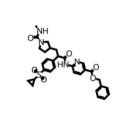 CNC(=O)N1CCC(CC(C(=O)Nc2ccc(C(=O)OCc3ccccc3)cn2)c2ccc(S(=O)(=O)C3CC3)cc2)C1